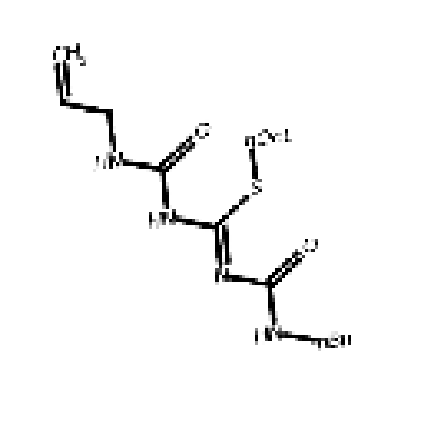 C=CCNC(=O)NC(=NC(=O)NCCCC)SCCCCCCCC